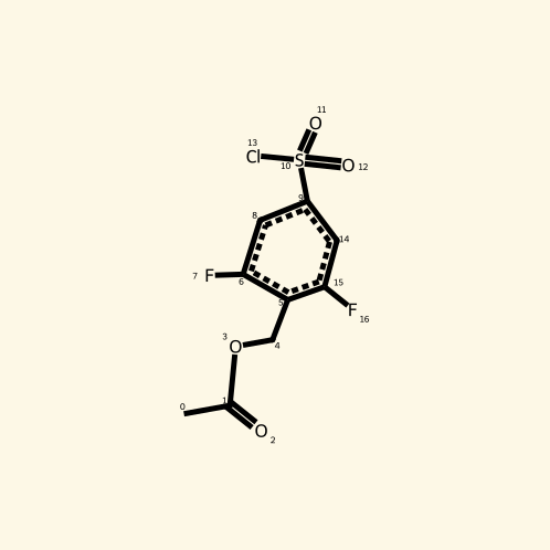 CC(=O)OCc1c(F)cc(S(=O)(=O)Cl)cc1F